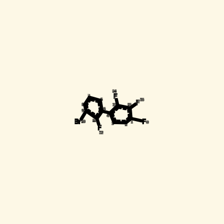 Fc1ccc(-c2cccc(Br)c2F)c(F)c1F